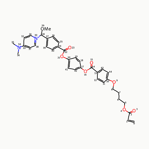 C=CC(=O)OCCCCOc1ccc(C(=O)Oc2ccc(OC(=O)c3ccc(C(OC)[n+]4ccc(N(C)C)cc4)cc3)cc2)cc1